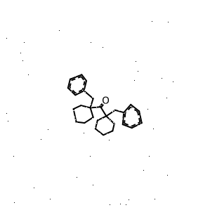 O=C(C1(Cc2ccccc2)CCCCC1)C1(Cc2ccccc2)CCCCC1